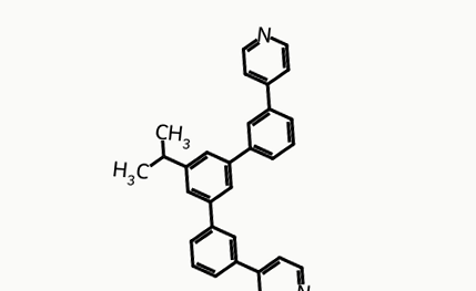 CC(C)c1cc(-c2cccc(-c3ccncc3)c2)cc(-c2cccc(-c3ccncc3)c2)c1